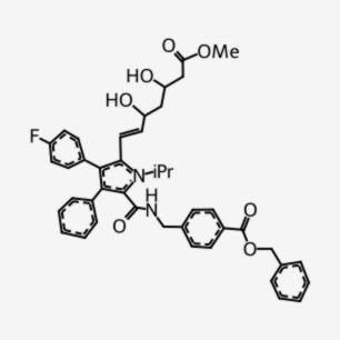 COC(=O)CC(O)CC(O)/C=C/c1c(-c2ccc(F)cc2)c(-c2ccccc2)c(C(=O)NCc2ccc(C(=O)OCc3ccccc3)cc2)n1C(C)C